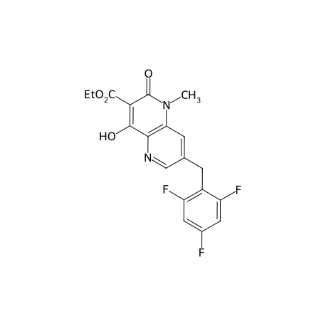 CCOC(=O)c1c(O)c2ncc(Cc3c(F)cc(F)cc3F)cc2n(C)c1=O